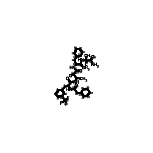 CC(NC(=O)C(Cc1cccc(C(F)(F)F)c1)NC(=O)Cc1ccccc1)C(=O)C(=O)NC(Cc1ccccc1)C(=O)NC(C)(C)C(N)=O